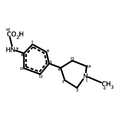 CN1CCC(c2ccc(NC(=O)O)cc2)CC1